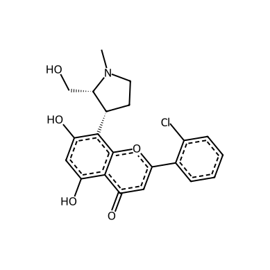 CN1CC[C@H](c2c(O)cc(O)c3c(=O)cc(-c4ccccc4Cl)oc23)[C@@H]1CO